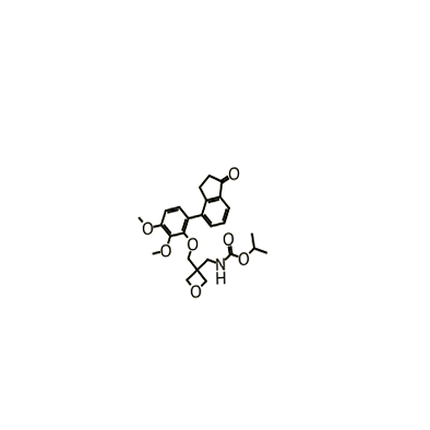 COc1ccc(-c2cccc3c2CCC3=O)c(OCC2(CNC(=O)OC(C)C)COC2)c1OC